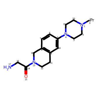 CC(C)N1CCN(c2ccc3c(c2)CCN(C(=O)CN)C3)CC1